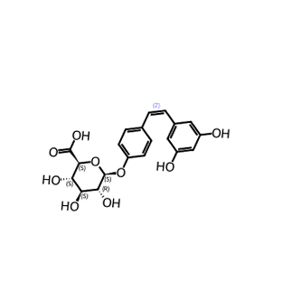 O=C(O)[C@H]1O[C@@H](Oc2ccc(/C=C\c3cc(O)cc(O)c3)cc2)[C@H](O)[C@@H](O)[C@@H]1O